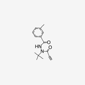 C#CC(=O)N(NC(=O)c1cccc(C)c1)C(C)(C)C